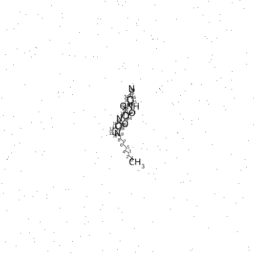 CCCCCCCCCCN1CCCc2cc3nc4cc(C(=O)Nc5ccc(C#N)cc5)c(=O)cc-4oc3cc21